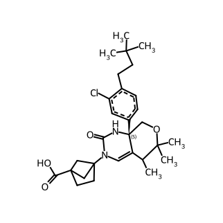 CC1C2=CN(C34CCC(C(=O)O)(C3)C4)C(=O)N[C@]2(c2ccc(CCC(C)(C)C)c(Cl)c2)COC1(C)C